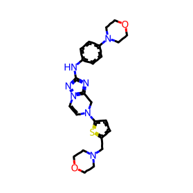 C1=Cn2nc(Nc3ccc(N4CCOCC4)cc3)nc2CN1c1ccc(CN2CCOCC2)s1